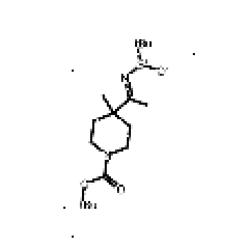 C/C(=N\[S+]([O-])C(C)(C)C)C1(C)CCN(C(=O)OC(C)(C)C)CC1